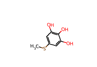 CSc1cc(O)c(O)c(O)c1